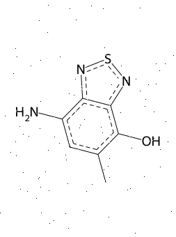 Cc1cc(N)c2nsnc2c1O